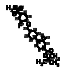 CC(C)(C)OC(=O)N1CCN(C2CCC(COc3ccc(S(C)(=O)=O)cc3F)CC2)C2(CC2)C1